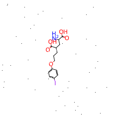 NC(CC(CCCOc1ccc(I)cc1)C(=O)O)C(=O)O